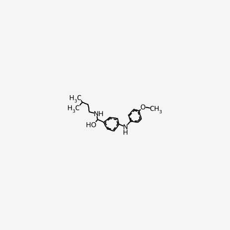 COc1ccc(Nc2ccc(C(O)NCCC(C)C)cc2)cc1